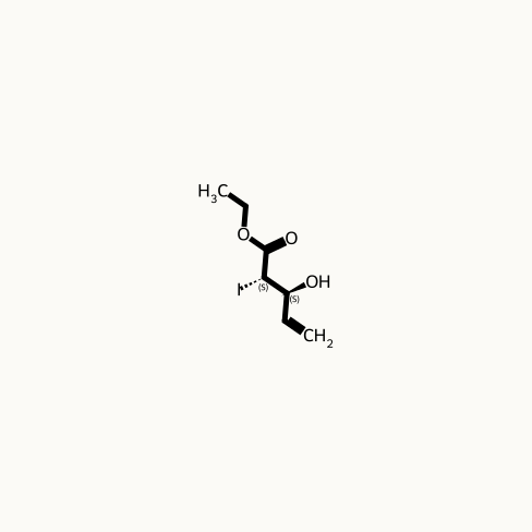 C=C[C@H](O)[C@H](I)C(=O)OCC